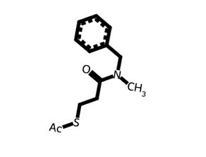 CC(=O)SCCC(=O)N(C)Cc1ccccc1